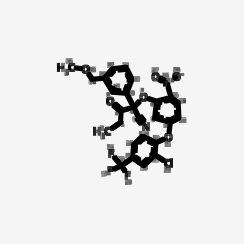 CCC(=O)C(C#N)(Oc1cc(Oc2ccc(C(F)(F)F)cc2Cl)ccc1[N+](=O)[O-])c1cccc(COC)c1